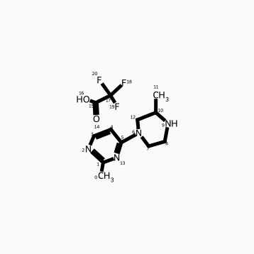 Cc1nccc(N2CCNC(C)C2)n1.O=C(O)C(F)(F)F